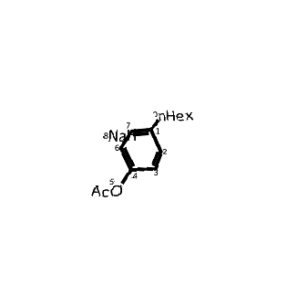 CCCCCCc1ccc(OC(C)=O)cc1.[NaH]